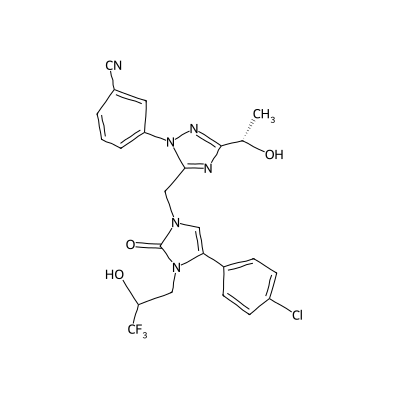 C[C@H](O)c1nc(Cn2cc(-c3ccc(Cl)cc3)n(CC(O)C(F)(F)F)c2=O)n(-c2cccc(C#N)c2)n1